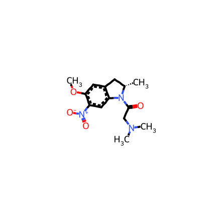 COc1cc2c(cc1[N+](=O)[O-])N(C(=O)CN(C)C)[C@@H](C)C2